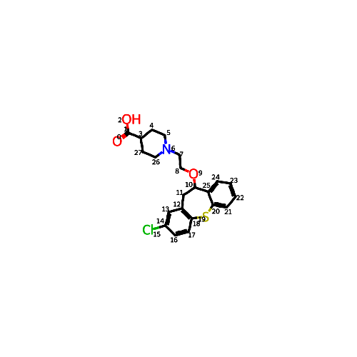 O=C(O)C1CCN(CCOC2Cc3cc(Cl)ccc3Sc3ccccc32)CC1